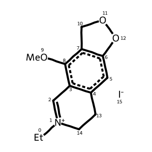 CC[N+]1=Cc2c(cc3c(c2OC)COO3)CC1.[I-]